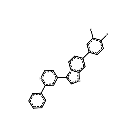 Fc1ccc(-c2ccn3c(-c4ccnc(-c5ccccc5)c4)cnc3c2)cc1F